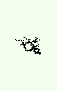 CON(C)C(=O)[C@@H]1CSCC#C[C@](c2ccc(Br)cc2)(C(F)(F)F)N[C@@H](CC(C)(C)F)C(=O)N1